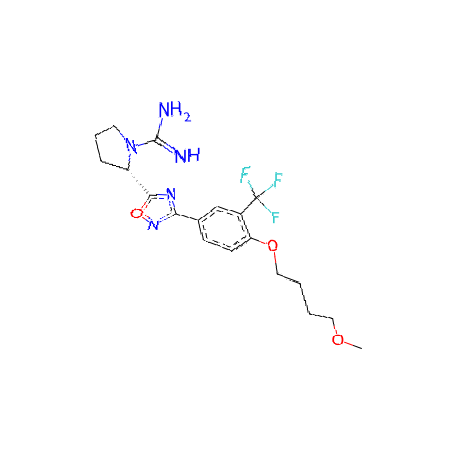 COCCCCOc1ccc(-c2noc([C@@H]3CCCN3C(=N)N)n2)cc1C(F)(F)F